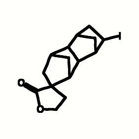 O=C1OCCC12CC1CC2C2C3CC(CC3I)C12